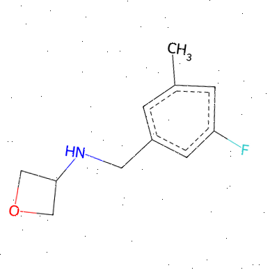 Cc1cc(F)cc(CNC2COC2)c1